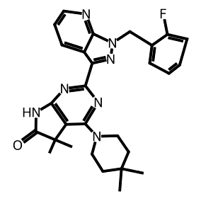 CC1(C)CCN(c2nc(-c3nn(Cc4ccccc4F)c4ncccc34)nc3c2C(C)(C)C(=O)N3)CC1